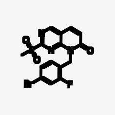 CS(=O)(=O)c1ncc2ccc(=O)n(Cc3ccc(Br)cc3F)c2n1